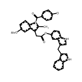 COc1ccc2c(c1)c(CC(=O)Oc1ccc3[nH]cc(Cc4c[nH]c5ccccc45)c3c1)c(C)n2C(=O)c1ccc(Cl)cc1